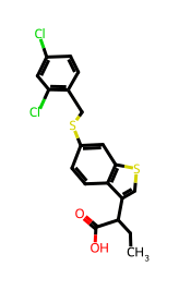 CCC(C(=O)O)c1csc2cc(SCc3ccc(Cl)cc3Cl)ccc12